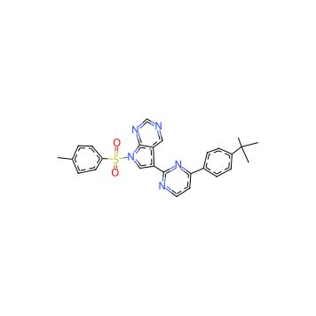 Cc1ccc(S(=O)(=O)n2cc(-c3nccc(-c4ccc(C(C)(C)C)cc4)n3)c3cncnc32)cc1